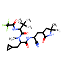 CN(C(=O)C(NC(=O)C(F)(F)F)C(C)(C)C)C(CC1CC1)C(=O)NC(C#N)CC1CC(C)(C)NC1=O